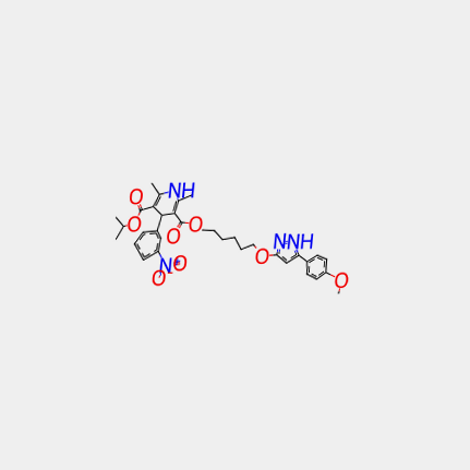 COc1ccc(-c2cc(OCCCCCCOC(=O)C3=C(C)NC(C)=C(C(=O)OC(C)C)C3c3cccc([N+](=O)[O-])c3)n[nH]2)cc1